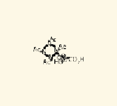 CC(=O)CN1CCN(CC(C)=O)CCN(CC(C)=O)C(COP(=O)(O)OCC(=O)O)CN(CC(C)=O)CC1